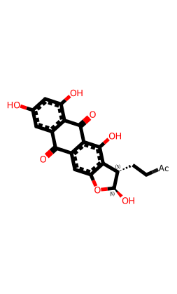 CC(=O)CC[C@H]1c2c(cc3c(c2O)C(=O)c2c(O)cc(O)cc2C3=O)O[C@@H]1O